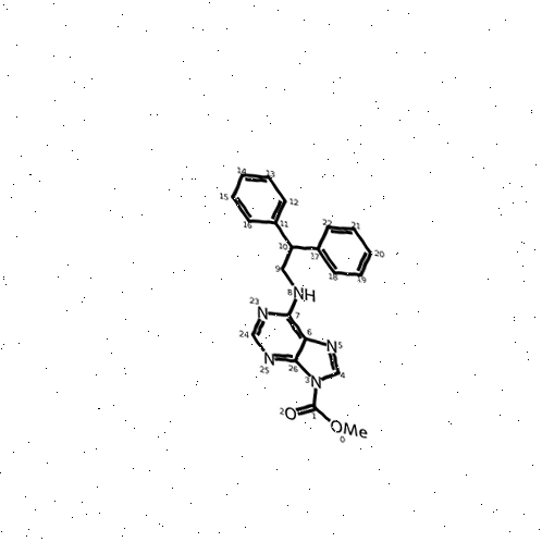 COC(=O)n1cnc2c(NCC(c3ccccc3)c3ccccc3)ncnc21